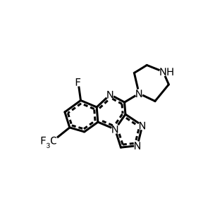 Fc1cc(C(F)(F)F)cc2c1nc(N1CCNCC1)c1nncn12